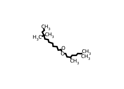 CCCC(C)(C)CCCCCCCC(=O)OCCC(C)CCCC(C)C